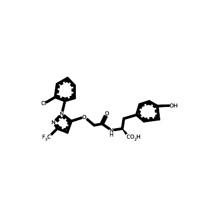 O=C(COc1cc(C(F)(F)F)nn1-c1ccccc1Cl)N[C@@H](Cc1ccc(O)cc1)C(=O)O